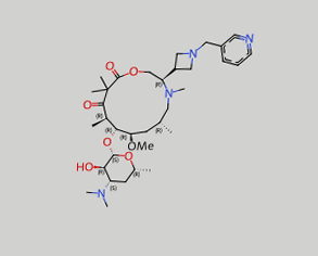 CO[C@@H]1C[C@@H](C)CN(C)[C@H](C2CN(Cc3cccnc3)C2)COC(=O)C(C)(C)C(=O)[C@H](C)[C@H]1O[C@@H]1O[C@H](C)C[C@H](N(C)C)[C@H]1O